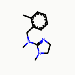 Cc1ccccc1CN(C)C1=NCCN1C